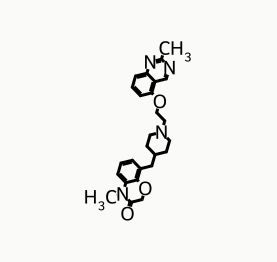 Cc1ncc2c(OCCN3CCC(Cc4cccc5c4OCC(=O)N5C)CC3)cccc2n1